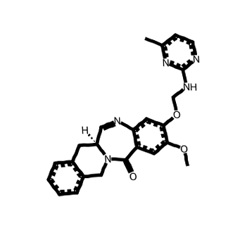 COc1cc2c(cc1OCNc1nccc(C)n1)N=C[C@@H]1Cc3ccccc3CN1C2=O